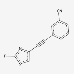 N#Cc1cccc(C#Cc2csc(F)n2)c1